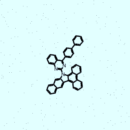 c1ccc(-c2ccc(-c3nc(-n4c5cc6ccccc6cc5c5c6ccccc6c6ccccc6c54)nc4ccccc34)cc2)cc1